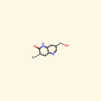 CCc1cc2ncc(CO)cc2[nH]c1=O